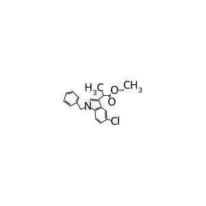 CCOC(=O)C(C)c1cn(Cc2ccccc2)c2ccc(Cl)cc12